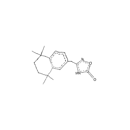 CC1(C)CCC(C)(C)c2cc(-c3noc(=O)[nH]3)ccc21